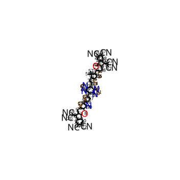 Cn1c2cc(/C=C3\C(=O)c4cc(C#N)c(C#N)cc4C3=C(C#N)C#N)sc2c2sc(-c3c4c(c(-c5cc6c(s5)-c5sc(/C=C7\C(=O)c8cc(C#N)c(C#N)cc8C7=C(C#N)C#N)cc5C6(C)C)c5nsnc35)N=S=N4)cc21